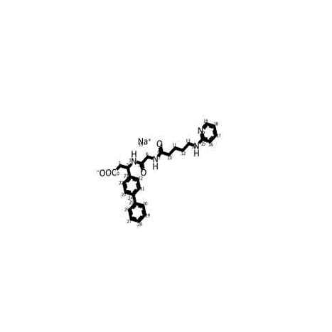 O=C([O-])CC(NC(=O)CNC(=O)CCCCNc1ccccn1)c1ccc(-c2ccccc2)cc1.[Na+]